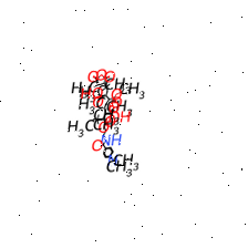 CCOC(=O)C(C(CC(C)(C)C1C(=O)OC(=O)C1C)C(=O)O)C(C)(C)CC(C(=O)O)C(C(=O)OCCNC(=O)c1ccc(N(C)C)cc1)C(C)(C)CC